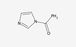 O=C(P)n1ccnc1